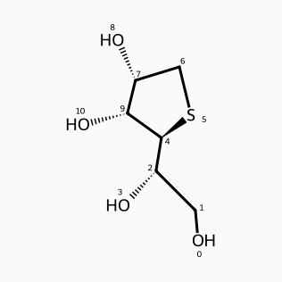 OC[C@H](O)[C@@H]1SC[C@@H](O)[C@H]1O